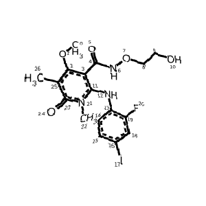 COc1c(C(=O)NOCCO)c(Nc2ccc(I)cc2F)n(C)c(=O)c1C